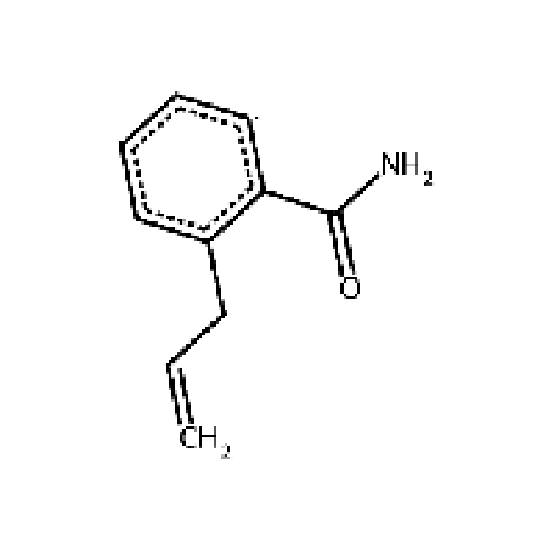 C=CCc1ccc[c]c1C(N)=O